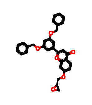 O=c1cc(-c2cc(OCc3ccccc3)cc(OCc3ccccc3)c2)oc2cc(OC[C@H]3CO3)ccc12